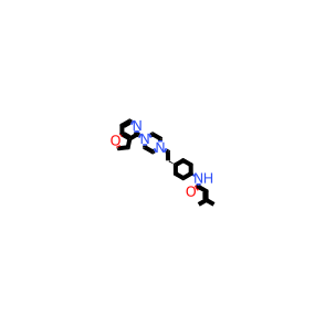 CC(C)=CC(=O)N[C@H]1CC[C@H](CCN2CCN(c3nccc4c3CCO4)CC2)CC1